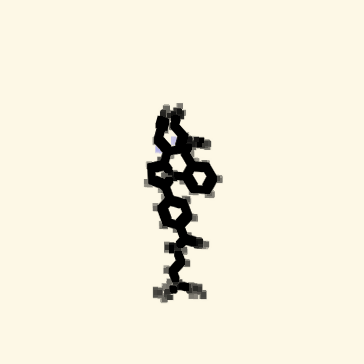 C#C/C=C(\C=C/CBr)c1ccc(-c2ccc(C(=O)NCCN(C)C)cc2)n1-c1ccccc1CNC